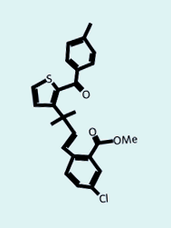 COC(=O)c1cc(Cl)ccc1/C=C/C(C)(C)c1ccsc1C(=O)c1ccc(C)cc1